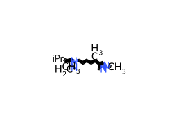 C=NN(/C=C(\C)C(C)C)CCCCC(C)c1cnn(C)c1